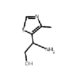 Cc1ncsc1C(N)CO